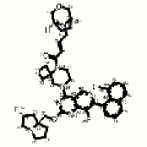 O=C(/C=C/CN1[C@@H]2CC[C@H]1COC2)N1CCN(c2nc(OC[C@@]34CCCN3C[C@H](F)C4)nc3c(F)c(-c4cccc5cccc(Cl)c45)ncc23)CC12COC2